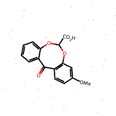 COc1ccc2c(c1)OC(C(=O)O)Oc1ccccc1C2=O